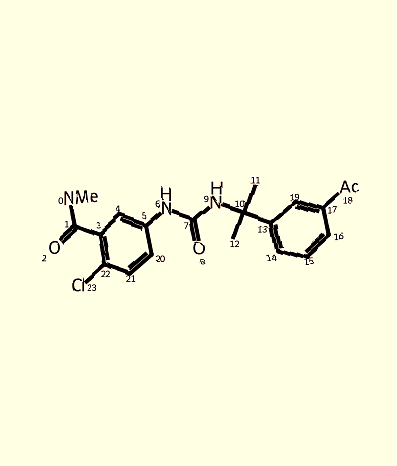 CNC(=O)c1cc(NC(=O)NC(C)(C)c2cccc(C(C)=O)c2)ccc1Cl